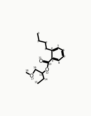 CCCCc1ccccc1C(=O)OC(CC)COC